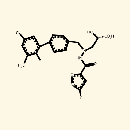 Cc1cc(Cl)cc(-c2ccc(CN(C[C@H](O)C(=O)O)NC(=O)c3cc(O)no3)cc2)c1F